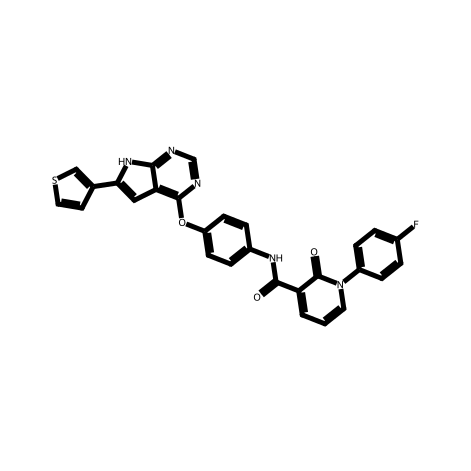 O=C(Nc1ccc(Oc2ncnc3[nH]c(-c4ccsc4)cc23)cc1)c1cccn(-c2ccc(F)cc2)c1=O